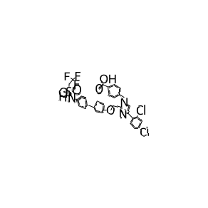 O=C(O)c1ccc(Cn2cc(-c3ccc(Cl)cc3Cl)nc2COc2ccc(-c3ccc(NS(=O)(=O)CC(F)(F)F)cc3)cc2)cc1